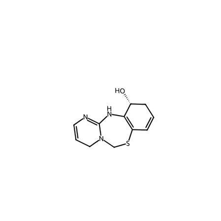 O[C@@H]1CC=CC2=C1NC1=NC=CCN1CS2